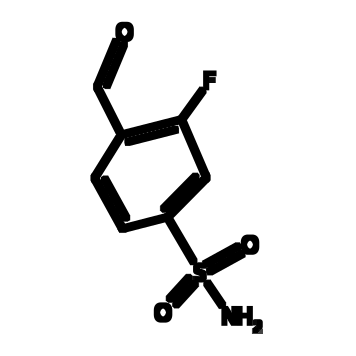 NS(=O)(=O)c1ccc(C=O)c(F)c1